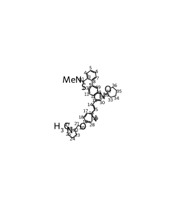 CNC(=S)c1ccccc1-c1ccc2c(/C=C/c3ccc(OCC4CCCN4C)cn3)cn(C3CCCCO3)c2c1